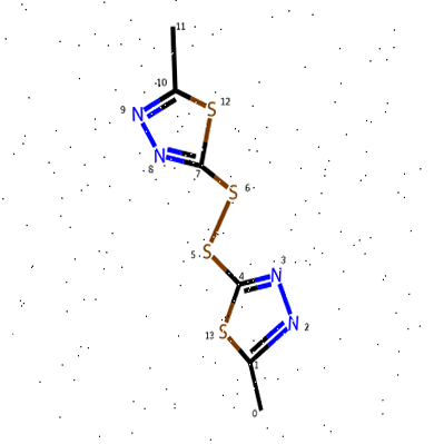 Cc1nnc(SSc2nnc(C)s2)s1